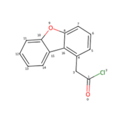 O=C(Cl)Cc1cccc2oc3ccccc3c12